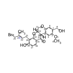 COc1cc2c(cc1CO)OC[C@H]1Oc3c(ccc(O)c3C/C=C(\C)CBr)C(=O)[C@@H]21